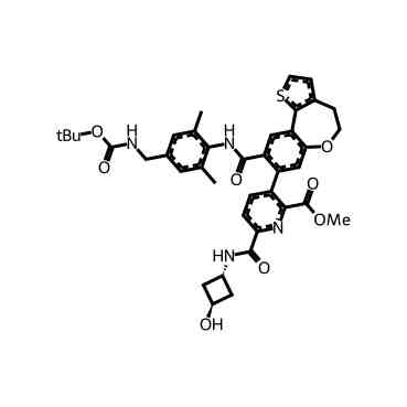 COC(=O)c1nc(C(=O)N[C@H]2C[C@H](O)C2)ccc1-c1cc2c(cc1C(=O)Nc1c(C)cc(CNC(=O)OC(C)(C)C)cc1C)-c1sccc1CCO2